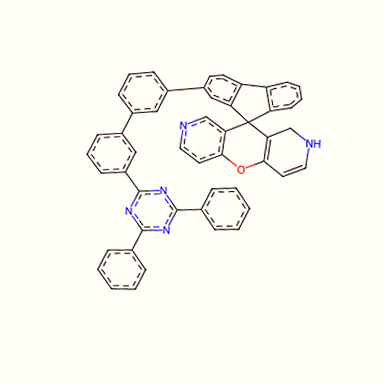 C1=CC2=C(CN1)C1(c3cnccc3O2)c2ccccc2-c2ccc(-c3cccc(-c4cccc(-c5nc(-c6ccccc6)nc(-c6ccccc6)n5)c4)c3)cc21